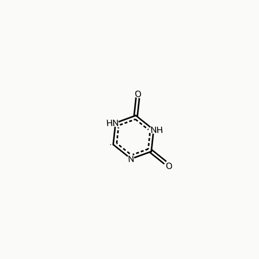 O=c1n[c][nH]c(=O)[nH]1